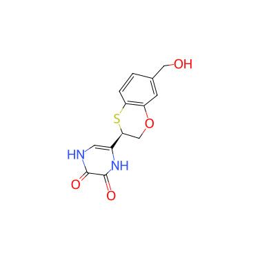 O=c1[nH]cc([C@@H]2COc3cc(CO)ccc3S2)[nH]c1=O